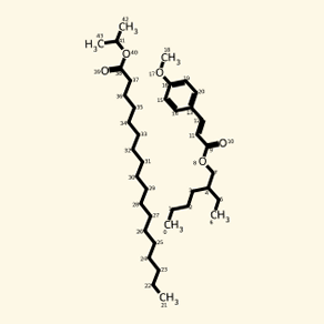 CCCCC(CC)COC(=O)/C=C/c1ccc(OC)cc1.CCCCCCCCCCCCCCCCCC(=O)OC(C)C